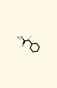 C[C@@H](C(N)=O)C1CCCCC1